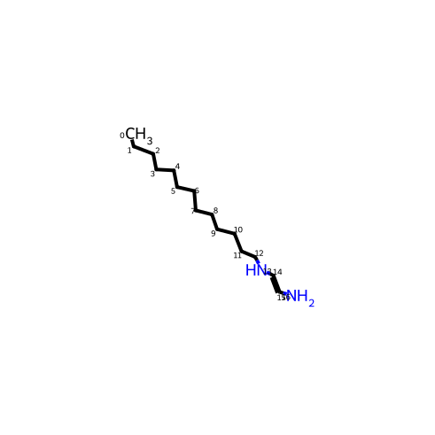 CCCCCCCCCCCCCN/C=C/N